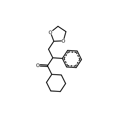 O=C(C1CCCCC1)C(CC1OCCO1)c1ccccc1